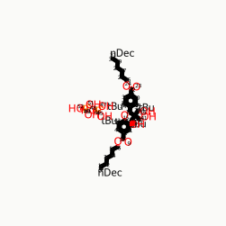 CCCCCCCCCCCCCCCCOC(=O)c1cc(C(C)(C)C)c(OC(c2c(C(C)(C)C)cc(C(=O)OCCCCCCCCCCCCCCCC)cc2C(C)(C)C)C(CO)(CO)CO)c(C(C)(C)C)c1.OP(O)O.OP(O)O